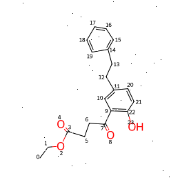 CCOC(=O)CCC(=O)c1cc(CCc2ccccc2)ccc1O